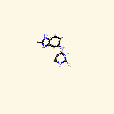 Cc1nc2cc(Nc3ccnc(Cl)n3)ccc2[nH]1